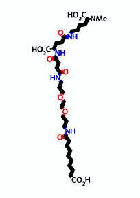 CN[C@@H](CCCCNC(=O)CC[C@H](NC(=O)CCC(=O)NCCCOCCOCCCNC(=O)CCCCCCCCC(=O)O)C(=O)O)C(=O)O